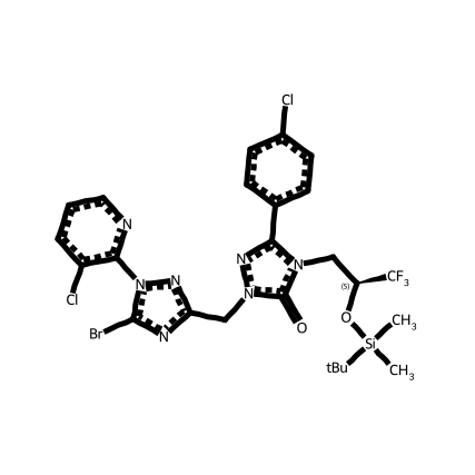 CC(C)(C)[Si](C)(C)O[C@@H](Cn1c(-c2ccc(Cl)cc2)nn(Cc2nc(Br)n(-c3ncccc3Cl)n2)c1=O)C(F)(F)F